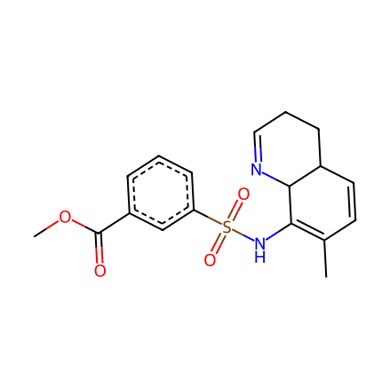 COC(=O)c1cccc(S(=O)(=O)NC2=C(C)C=CC3CCC=NC23)c1